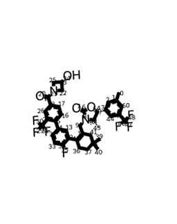 Cc1cc([C@H]2OC(=O)N(CC3=C(c4cc(-c5ccc(C(=O)N6CC(O)C6)cc5C(F)(F)F)ccc4F)CCC(C)(C)C3)[C@H]2C)cc(C(F)(F)F)c1